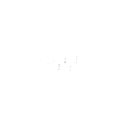 CC([C]=O)CC(C)C(=O)C(=O)CCC=O